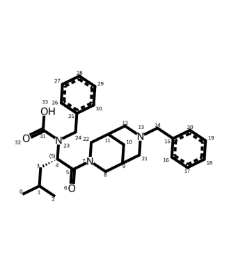 CC(C)C[C@@H](C(=O)N1CC2CC(CN(Cc3ccccc3)C2)C1)N(Cc1ccccc1)C(=O)O